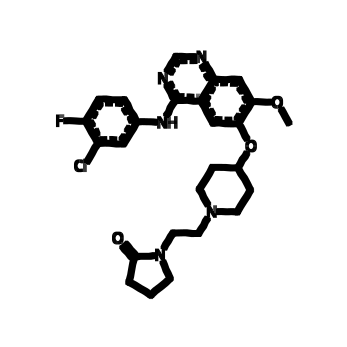 COc1cc2ncnc(Nc3ccc(F)c(Cl)c3)c2cc1OC1CCN(CCN2CCCC2=O)CC1